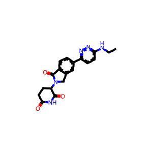 CCNc1ccc(-c2ccc3c(c2)CN(C2CCC(=O)NC2=O)C3=O)nn1